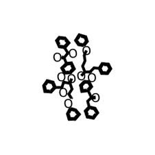 O=C(C(=O)c1ccc(OC(CCCOc2ccccc2)C(=O)C(=O)c2ccccc2)cc1)c1ccccc1.O=C(Cc1ccccc1)c1ccc(OC(CCCOc2ccccc2)C(=O)Cc2ccccc2)cc1